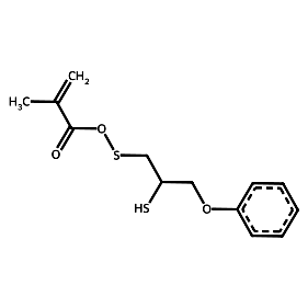 C=C(C)C(=O)OSCC(S)COc1ccccc1